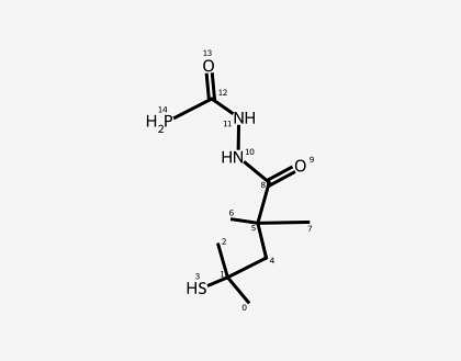 CC(C)(S)CC(C)(C)C(=O)NNC(=O)P